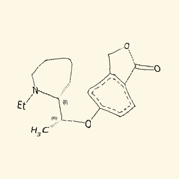 CCN1CCCC[C@@H]1[C@@H](C)Oc1ccc2c(c1)COC2=O